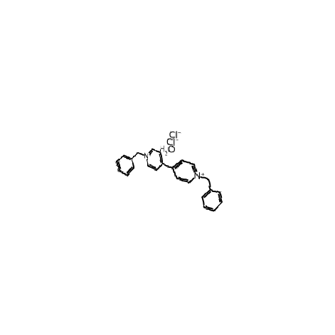 O.[Cl-].[Cl-].c1ccc(C[n+]2ccc(-c3cc[n+](Cc4ccccc4)cc3)cc2)cc1